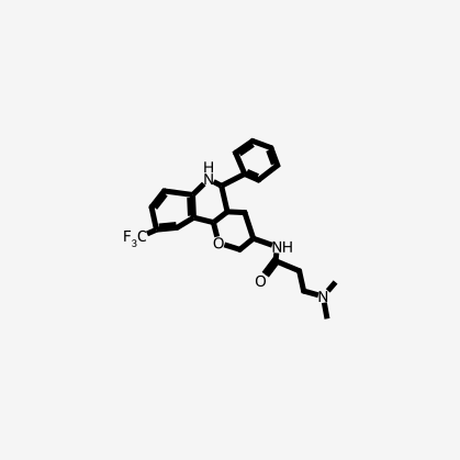 CN(C)CCC(=O)NC1COC2c3cc(C(F)(F)F)ccc3NC(c3ccccc3)C2C1